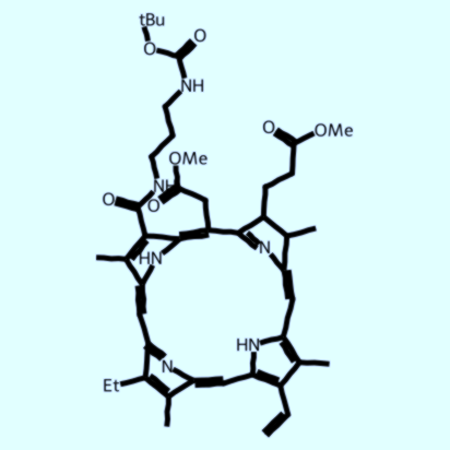 C=Cc1c(C)c2cc3nc(c(CC(=O)OC)c4[nH]c(cc5nc(cc1[nH]2)C(C)=C5CC)c(C)c4C(=O)NCCCNC(=O)OC(C)(C)C)C(CCC(=O)OC)C3C